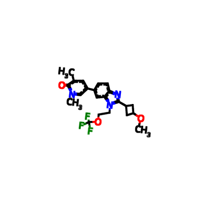 COC1CC(c2nc3ccc(-c4cc(C)c(=O)n(C)c4)cc3n2CCOC(F)(F)F)C1